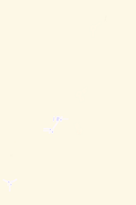 CCOc1ccc(-c2ccc(C(=O)N/N=C/c3cc(CN(C)C)cs3)o2)cc1